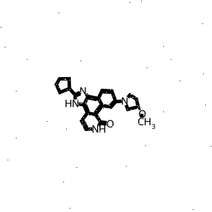 CO[C@@H]1CCN(c2ccc3c(c2)c2c(=O)[nH]ccc2c2[nH]c(C4CCCC4)nc32)C1